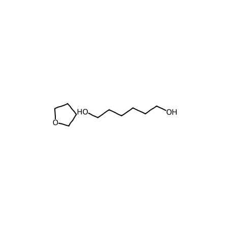 C1CCOC1.OCCCCCCO